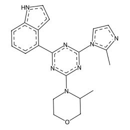 Cc1nccn1-c1nc(-c2cccc3[nH]ccc23)nc(N2CCOCC2C)n1